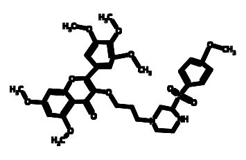 COc1ccc(S(=O)(=O)C2CN(CCCOc3c(-c4cc(OC)c(OC)c(OC)c4)oc4cc(OC)cc(OC)c4c3=O)CCN2)cc1